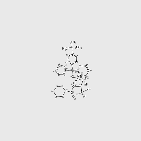 CC(C)(C)c1ccc(S(OS(=O)(=O)C(F)(F)C(OC(=O)C2CCCCC2)C(F)(F)F)(c2ccccc2)c2ccccc2)cc1